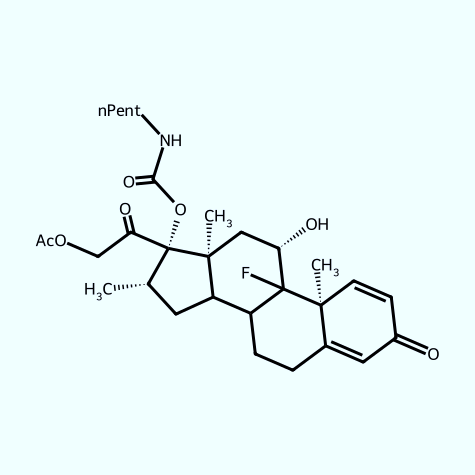 CCCCCNC(=O)O[C@@]1(C(=O)COC(C)=O)[C@@H](C)CC2C3CCC4=CC(=O)C=C[C@]4(C)C3(F)[C@@H](O)C[C@@]21C